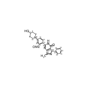 COc1nc(N2CCC(O)CC2)ccc1-c1nc2c(c(-c3ccccc3)nn2C)c(=O)[nH]1